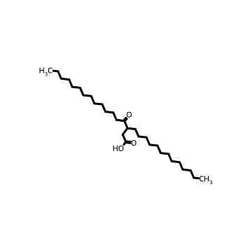 CCCCCCCCCCCCCC(=O)C(CCCCCCCCCCCCC)CC(=O)O